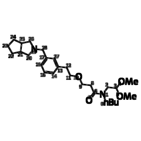 CCCCN(CC(OC)OC)C(=O)CCOCCc1cccc(CN2CC3CCCC3C2)c1